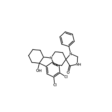 O=C1NCN(c2ccccc2)C12CCN(C1CCCCC1(O)c1ccc(Cl)c(Cl)c1)CC2